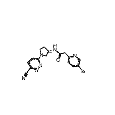 N#Cc1ccc(N2CC[C@H](NC(=O)Cc3ccc(Br)cn3)C2)nn1